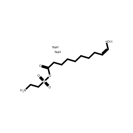 CCCCCCCC/C=C\CCCCCCCC(=O)OS(=O)(=O)CCN.[NaH].[NaH]